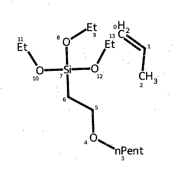 C=CC.CCCCCOCC[Si](OCC)(OCC)OCC